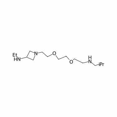 CCNC1CN(CCOCCOCCNCC(C)C)C1